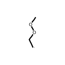 [CH2]COOC